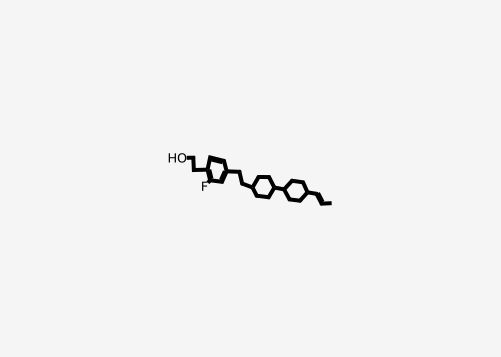 C/C=C/C1CCC(C2CCC(CCc3ccc(CCO)c(F)c3)CC2)CC1